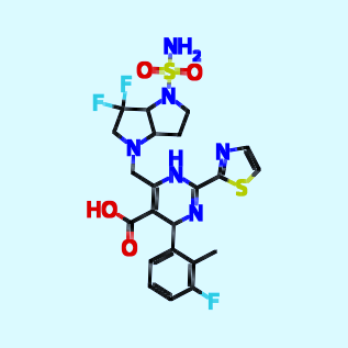 Cc1c(F)cccc1C1N=C(c2nccs2)NC(CN2CC(F)(F)C3C2CCN3S(N)(=O)=O)=C1C(=O)O